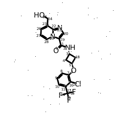 O=C(N[C@H]1C[C@H](Oc2cccc(C(F)(F)F)c2Cl)C1)c1cnc2c(CO)cccn12